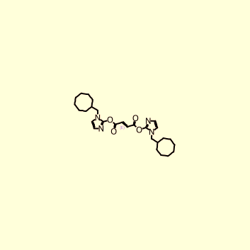 O=C(/C=C/C(=O)Oc1nccn1CC1CCCCCCC1)Oc1nccn1CC1CCCCCCC1